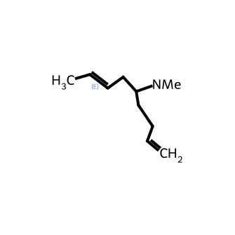 C=CCCC(C/C=C/C)NC